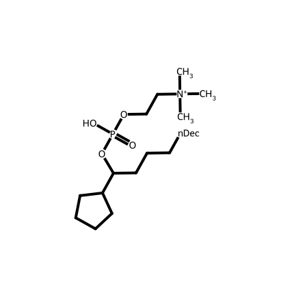 CCCCCCCCCCCCCC(OP(=O)(O)OCC[N+](C)(C)C)C1CCCC1